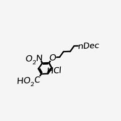 CCCCCCCCCCCCCCOc1ccc(C(=O)O)cc1[N+](=O)[O-].Cl